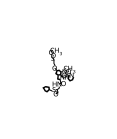 COOSCCCOc1cc(N(C)S(=O)(=O)c2ccccn2)c2[nH]c(C(=O)NCC(C=O)SCc3ccccc3)cc2c1